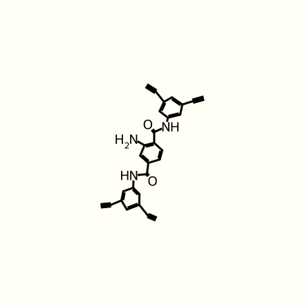 C#Cc1cc(C#C)cc(NC(=O)c2ccc(C(=O)Nc3cc(C#C)cc(C#C)c3)c(N)c2)c1